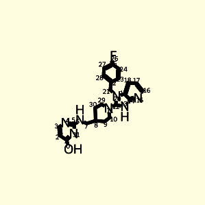 Oc1ccnc(NCC2CCN(C3Nc4ncccc4N3Cc3ccc(F)cc3)CC2)n1